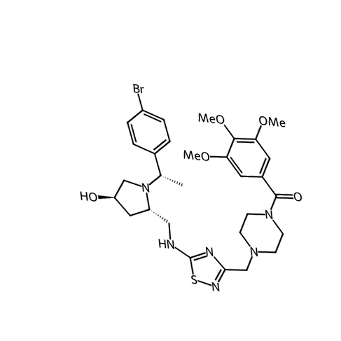 COc1cc(C(=O)N2CCN(Cc3nsc(NC[C@@H]4C[C@@H](O)CN4[C@@H](C)c4ccc(Br)cc4)n3)CC2)cc(OC)c1OC